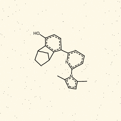 Cc1ccc(C)n1-c1cccc(-c2ccc(O)c3c2C2CCC3C2)n1